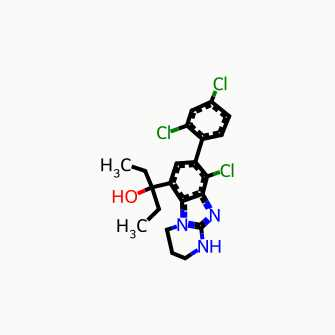 CCC(O)(CC)c1cc(-c2ccc(Cl)cc2Cl)c(Cl)c2nc3n(c12)CCCN3